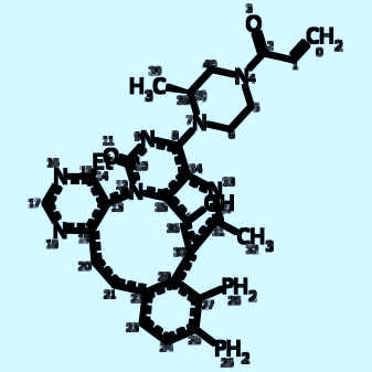 C=CC(=O)N1CCN(c2nc(=O)n3c4c(CC)ncnc4ccc4ccc(P)c(P)c4c4c(C)nc2c3c4O)[C@@H](C)C1